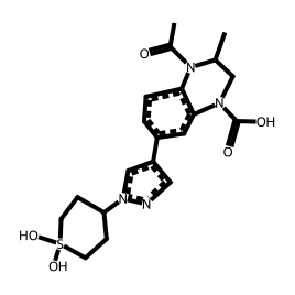 CC(=O)N1c2ccc(-c3cnn(C4CCS(O)(O)CC4)c3)cc2N(C(=O)O)CC1C